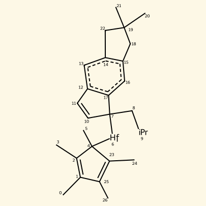 CC1=C(C)[C](C)([Hf][C]2(CC(C)C)C=Cc3cc4c(cc32)CC(C)(C)C4)C(C)=C1C